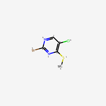 N#CSc1nc(Br)ncc1Cl